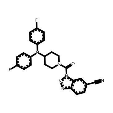 N#Cc1ccc2nnn(C(=O)N3CCC(N(c4ccc(F)cc4)c4ccc(F)cc4)CC3)c2c1